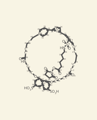 O=C1CCCCCOc2ccc(cc2S(=O)(=O)NCCCCCC(=O)ON2C(=O)CCC2=O)-c2cnc(o2)-c2cc[n+](cc2)CCCCCC(=O)NCCCOc2cc(S(=O)(=O)O)cc3cc(S(=O)(=O)O)cc(c23)OCCCN1